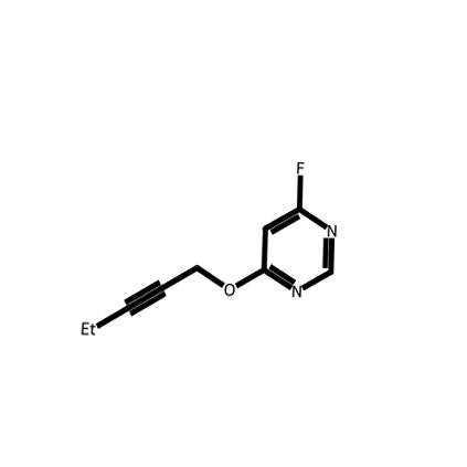 CCC#CCOc1cc(F)ncn1